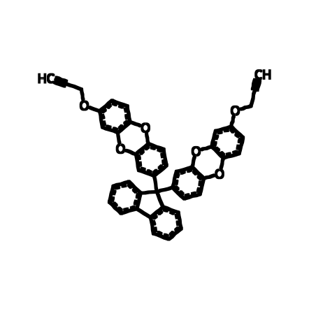 C#CCOc1ccc2c(c1)Oc1cc(C3(c4ccc5c(c4)Oc4cc(OCC#C)ccc4O5)c4ccccc4-c4ccccc43)ccc1O2